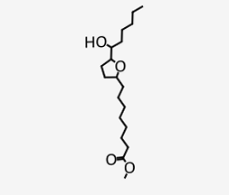 CCCCCC(O)C1CCC(CCCCCCCC(=O)OC)O1